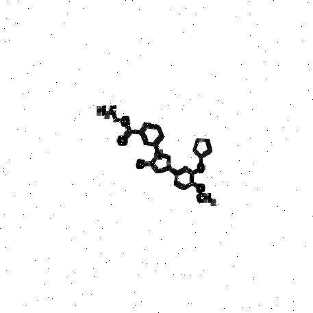 CCOC(=O)c1cccc(N2C[C@@H](c3ccc(OC)c(OC4CCCC4)c3)CC2=O)c1